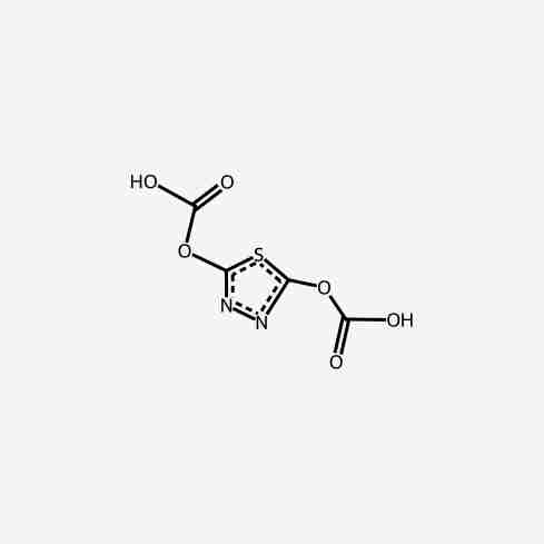 O=C(O)Oc1nnc(OC(=O)O)s1